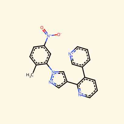 Cc1ccc([N+](=O)[O-])cc1-n1cc(-c2ncccc2-c2cccnc2)cn1